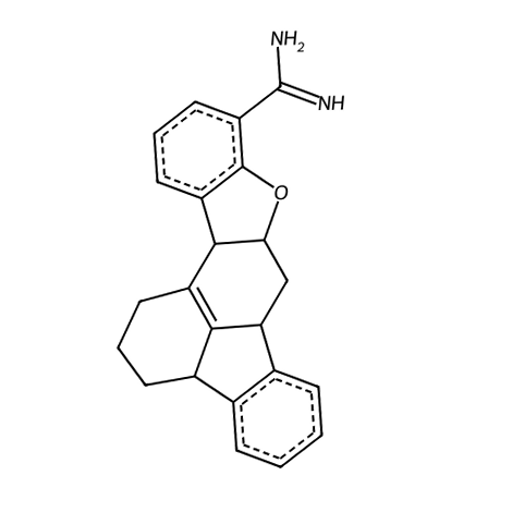 N=C(N)c1cccc2c1OC1CC3C4=C(CCCC4c4ccccc43)C21